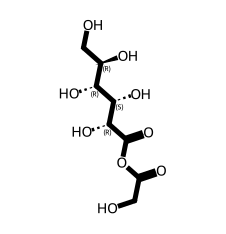 O=C(CO)OC(=O)[C@H](O)[C@@H](O)[C@H](O)[C@H](O)CO